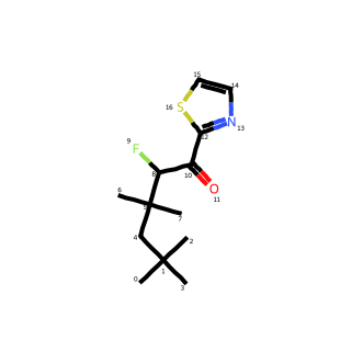 CC(C)(C)CC(C)(C)C(F)C(=O)c1nccs1